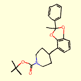 CC(C)(C)OC(=O)N1CCC(c2cccc3c2OC(C)(c2ccccc2)O3)CC1